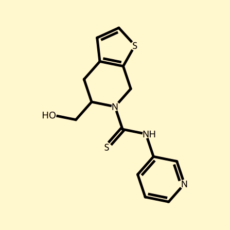 OCC1Cc2ccsc2CN1C(=S)Nc1cccnc1